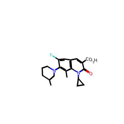 Cc1c(N2CCCC(C)C2)c(F)cc2cc(C(=O)O)c(=O)n(C3CC3)c12